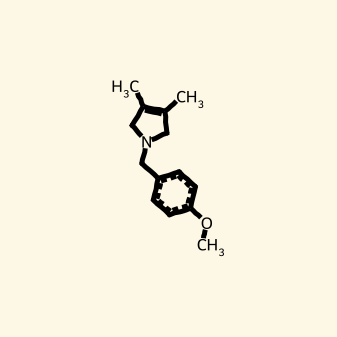 COc1ccc(CN2CC(C)=C(C)C2)cc1